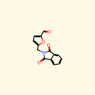 O=Cc1ccc(CN2C(=O)c3ccccc3C2=O)o1